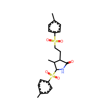 Cc1ccc(S(=O)(=O)CCC2C(=O)NC(S(=O)(=O)c3ccc(C)cc3)C2C)cc1